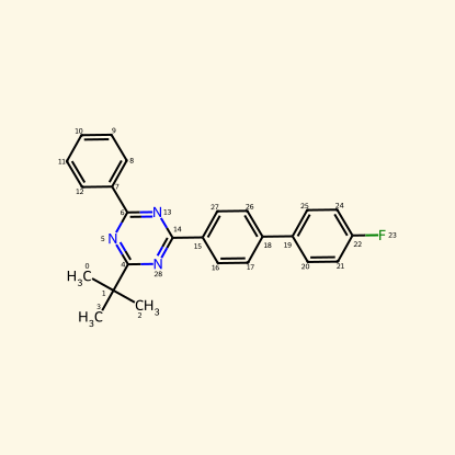 CC(C)(C)c1nc(-c2ccccc2)nc(-c2ccc(-c3ccc(F)cc3)cc2)n1